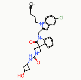 C#CCCCn1c(CN2C(=O)C3(CN(C(=O)NC4CC(O)C4)C3)c3ccccc32)cc2cc(Cl)ccc21